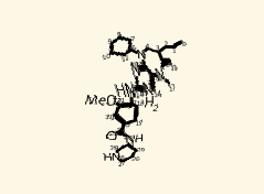 C=CCC1CN(C2CCCCC2)C(=N/C(=C)Nc2ccc(C(=O)N[C@@H]3CCCNC3)cc2OC)/C(=C\N)N(C)C1=C